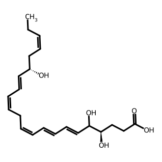 CC/C=C\C[C@H](O)/C=C/C=C\C\C=C/C=C/C=C/C(O)[C@H](O)CCC(=O)O